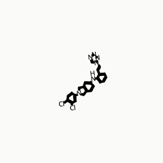 Clc1ccc(N2Cc3ccc(Nc4ccccc4/C=C/n4cnnn4)cc3C2)cc1Cl